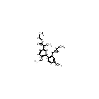 CCNCc1cc(C)ccc1-c1cc(C(C)C(=O)OCC)ccc1OC